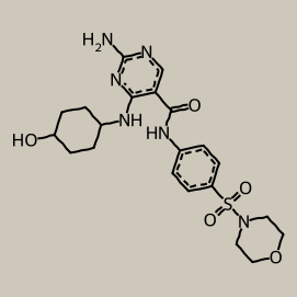 Nc1ncc(C(=O)Nc2ccc(S(=O)(=O)N3CCOCC3)cc2)c(NC2CCC(O)CC2)n1